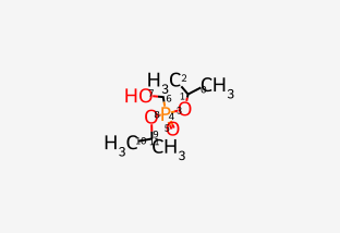 CC(C)OP(=O)(CO)OC(C)C